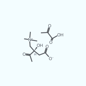 CC(=O)C(=O)O.CC(=O)[C@@](O)(CC(=O)[O-])C[N+](C)(C)C